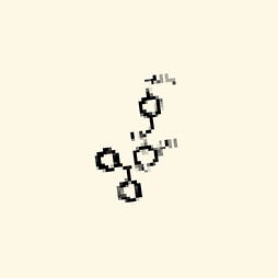 COc1ccc(CN[C@@H]2C[C@H](C(c3ccccc3)c3ccccc3)OC[C@H]2O)cc1